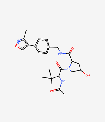 CC(=O)NC(C(=O)N1CC(O)CC1C(=O)NCc1ccc(-c2conc2C)cc1)C(C)(C)C